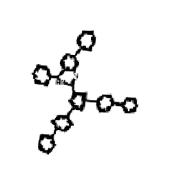 c1ccc(-c2ccc(-c3cc(C4=Nc5cc(-c6ccccc6)ccc5C(c5ccccc5)N4)cc(-c4ccc(-c5ccccc5)cc4)c3)cc2)cc1